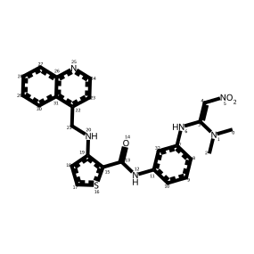 CN(C)C(=C[N+](=O)[O-])Nc1cccc(NC(=O)c2sccc2NCc2ccnc3ccccc23)c1